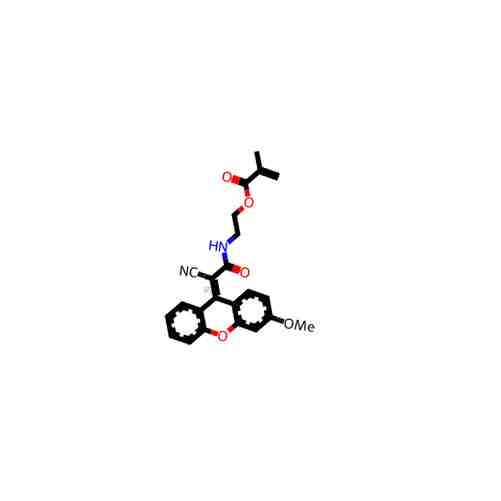 C=C(C)C(=O)OCCNC(=O)/C(C#N)=C1/c2ccccc2Oc2cc(OC)ccc21